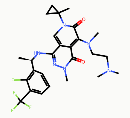 C[C@@H](Nc1nn(C)c(=O)c2c(N(C)CCN(C)C)c(=O)n(C3(C)CC3)cc12)c1cccc(C(F)(F)F)c1F